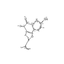 C=C(C)C1CC2=C(O1)c1ccc(O)cc1C(=O)C2=O